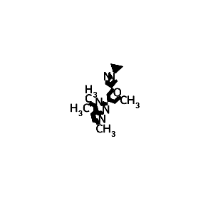 Cc1ccc2c(C(C)C)nc([C@H]3C[C@@H](C)O[C@@H](c4cnn(C5CC5)c4)C3)nc2n1